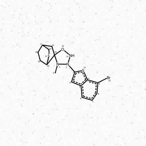 CN1N(c2cc3cccc(Br)c3s2)NOC12CC1CCC2CC1